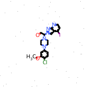 COc1cc(N2CCN(C(C=O)n3cc4c(I)ccnc4n3)CC2)ccc1Cl